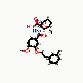 COc1ccc(C(=O)N[C@@]2(C(=O)O)C[C@@H]3CC[C@H]2O3)cc1OCCc1cccc(C)c1